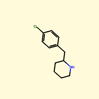 Clc1ccc(CC2CCCCN2)cc1